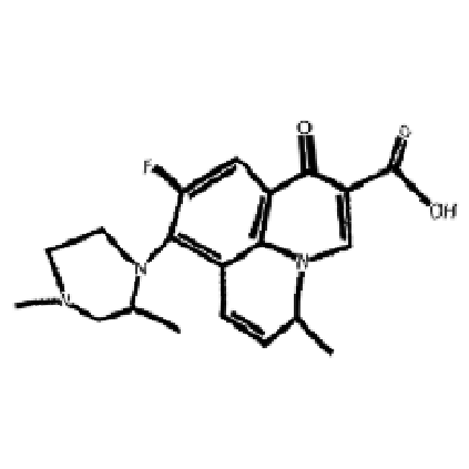 CC1CN(C)CCN1c1c(F)cc2c(=O)c(C(=O)O)cn3c2c1C=CC3C